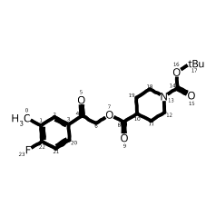 Cc1cc(C(=O)COC(=O)C2CCN(C(=O)OC(C)(C)C)CC2)ccc1F